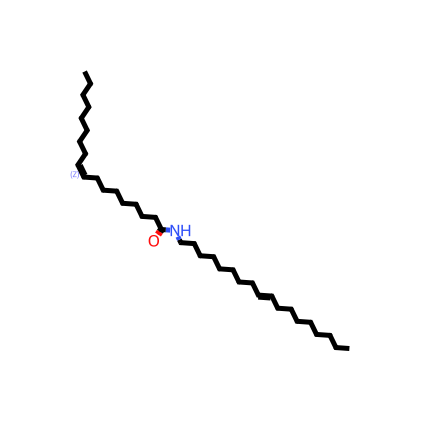 CCCCCCCCC=CCCCCCCCCNC(=O)CCCCCCC/C=C\CCCCCCCC